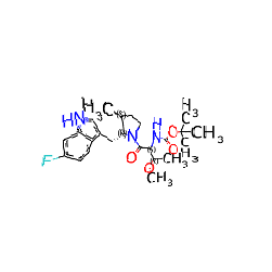 CO[C@H](C)[C@H](NC(=O)OC(C)(C)C)C(=O)N1CC[C@H](C)[C@H]1Cc1c[nH]c2cc(F)ccc12